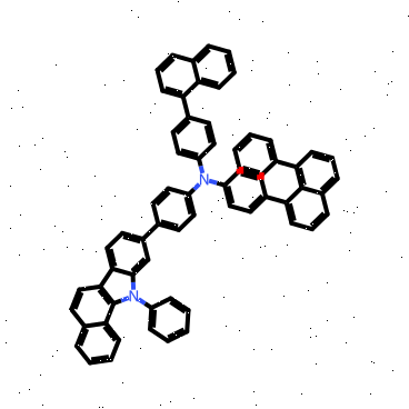 c1ccc(-c2cccc3cccc(-c4ccc(N(c5ccc(-c6ccc7c8ccc9ccccc9c8n(-c8ccccc8)c7c6)cc5)c5ccc(-c6cccc7ccccc67)cc5)cc4)c23)cc1